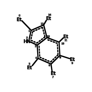 CCc1[nH]c2c(CC)c(CC)c(CC)c(CC)c2c1CC